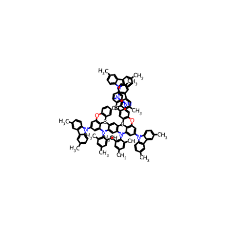 Cc1cc(C)c(N2c3cc4c(cc3B3c5cc(C)ccc5Oc5cc(-n6c7ccc(C)cc7c7cc(C)ccc76)cc2c53)B2c3cc5c(cc3Oc3cc(-n6c7ccc(C)cc7c7cc(C)ccc76)cc(c32)N4c2c(C)cc(C)cc2C)Nc2cc(-n3c4ccc(C)cc4c4cc(C)ccc43)cc3c2B5c2cc(C)cc4c5cc(C)ccc5n-3c24)c(C)c1